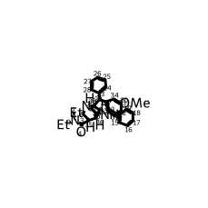 CCN(CC)C(=O)[C@H]1CN2CC[C@H]1[C@H](NCc1ccccc1OC)[C@@H]2C(c1ccccc1)c1ccccc1